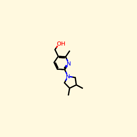 Cc1nc(N2CC(C)C(C)C2)ccc1CO